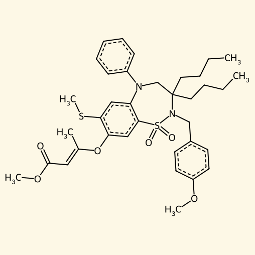 CCCCC1(CCCC)CN(c2ccccc2)c2cc(SC)c(O/C(C)=C/C(=O)OC)cc2S(=O)(=O)N1Cc1ccc(OC)cc1